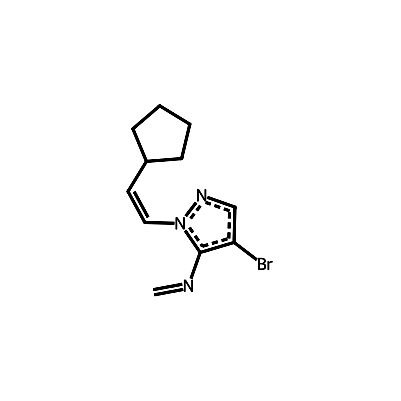 C=Nc1c(Br)cnn1/C=C\C1CCCC1